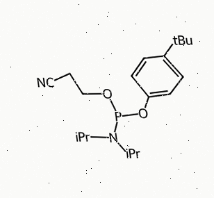 CC(C)N(C(C)C)P(OCCC#N)Oc1ccc(C(C)(C)C)cc1